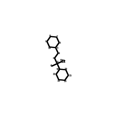 CCC(C)(CCC1CCCCC1)C1CCCCC1